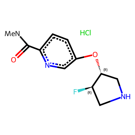 CNC(=O)c1ccc(O[C@@H]2CNC[C@H]2F)cn1.Cl